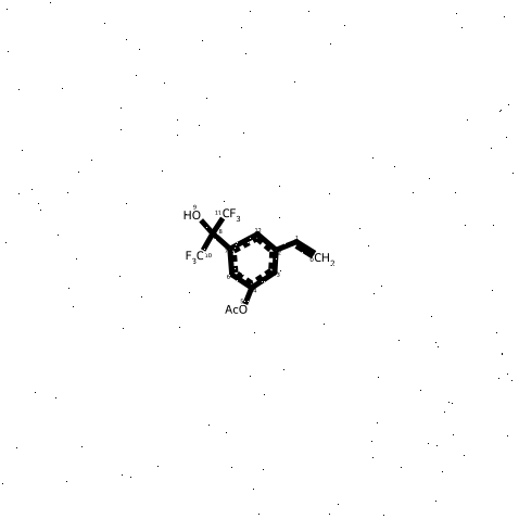 C=Cc1cc(OC(C)=O)cc(C(O)(C(F)(F)F)C(F)(F)F)c1